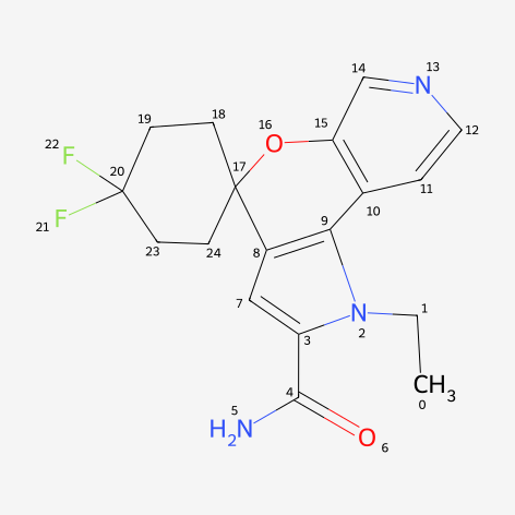 CCn1c(C(N)=O)cc2c1-c1ccncc1OC21CCC(F)(F)CC1